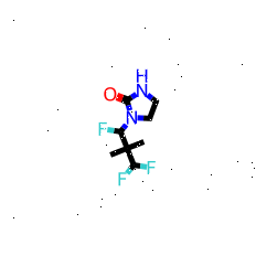 CC(C)(C(F)F)C(F)N1CCNC1=O